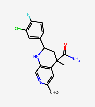 CC1(C(N)=O)CC(c2ccc(F)c(Cl)c2)Nc2cnc([C]=O)cc21